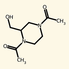 CC(=O)N1CCN(C(C)=O)C(CO)C1